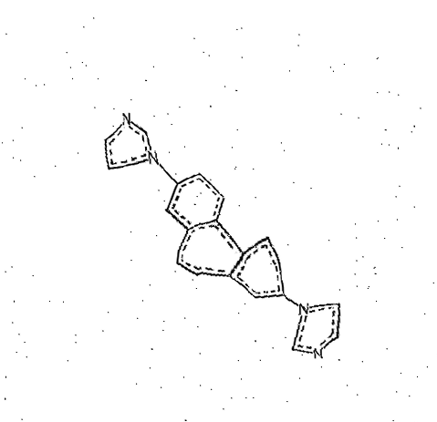 c1cn(-c2ccc3c(ccc4cc(-n5ccnc5)ccc43)c2)cn1